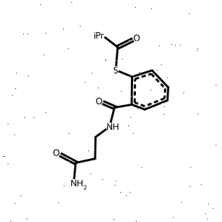 CC(C)C(=O)Sc1ccccc1C(=O)NCCC(N)=O